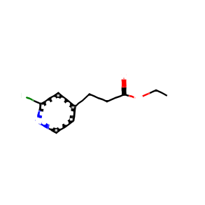 CCOC(=O)CCc1ccnc(F)c1